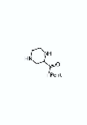 CCCCCC(=O)C1CNCCN1